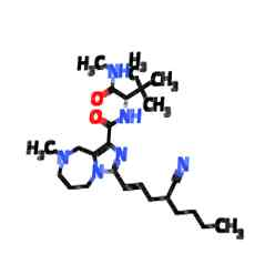 CCCCC(C#N)CC=Cc1nc(C(=O)N[C@H](C(=O)NC)C(C)(C)C)c2n1CCCN(C)C2